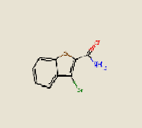 NC(=O)c1sc2ccccc2c1Br